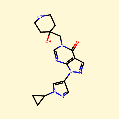 O=c1c2cnn(-c3cnn(C4CC4)c3)c2ncn1CC1(O)CCNCC1